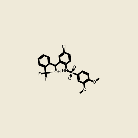 COc1ccc(S(=O)(=O)Nc2ccc(Cl)cc2C(O)c2ccccc2C(F)(F)F)cc1OC